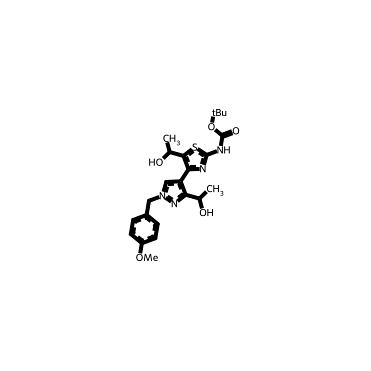 COc1ccc(Cn2cc(-c3nc(NC(=O)OC(C)(C)C)sc3C(C)O)c(C(C)O)n2)cc1